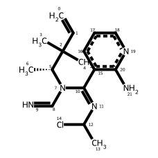 C=CC(C)(C)[C@@H](C)N(C=N)/C(=N\C(C)Cl)c1cccnc1N